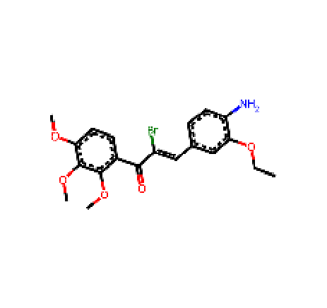 CCOc1cc(C=C(Br)C(=O)c2ccc(OC)c(OC)c2OC)ccc1N